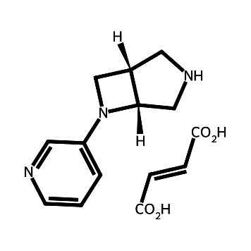 O=C(O)C=CC(=O)O.c1cncc(N2C[C@@H]3CNC[C@@H]32)c1